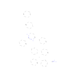 N#Cc1cccc2c1-c1ccc(-c3cccc(-c4cc(-c5ccc(-c6ccccc6)cc5)nc(-c5ccccc5)n4)c3)cc1C21c2ccccc2-c2ccccc21